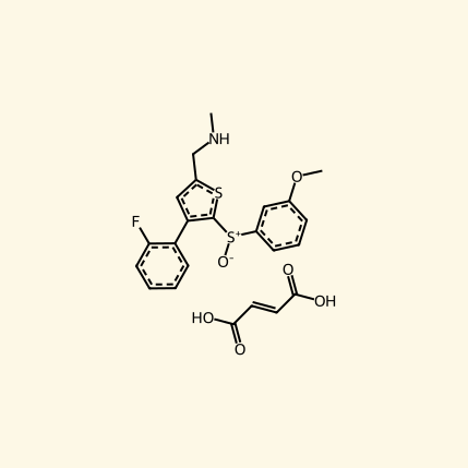 CNCc1cc(-c2ccccc2F)c([S+]([O-])c2cccc(OC)c2)s1.O=C(O)/C=C/C(=O)O